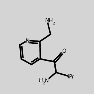 CC(C)C(N)C(=O)c1cccnc1CN